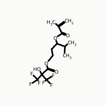 C=C(C)C(=O)OC(CCOC(=O)C(O)(C(F)(F)F)C(F)(F)F)C(C)C